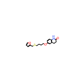 O=C1CCc2cc(OCCCCSCc3ccco3)ccc2N1